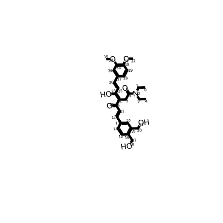 CCN(CC)C(=O)C/C(C(=O)/C=C/c1ccc(CO)c(CO)c1)=C(O)\C=C\c1ccc(OC)c(OC)c1